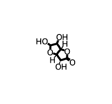 O=C1O[C@@H]2C(O)C(O)O[C@@H]2[C@H]1O